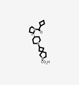 O=C(O)N1CCC2(CC(N3CCC([C@@H]4CCCN4C(=O)C4CCC4)CC3)C2)C1